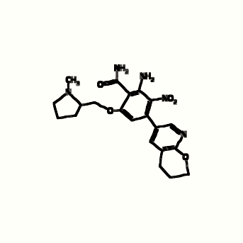 CN1CCCC1COc1cc(-c2cnc3c(c2)CCCO3)c([N+](=O)[O-])c(N)c1C(N)=O